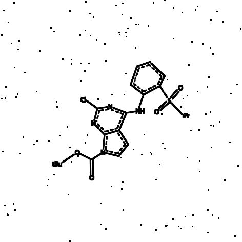 CC(C)S(=O)(=O)c1ccccc1Nc1nc(Cl)nc2c1ccn2C(=O)OC(C)(C)C